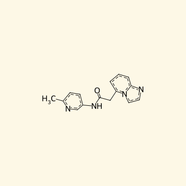 Cc1ccc(NC(=O)Cc2cccc3nccn23)cn1